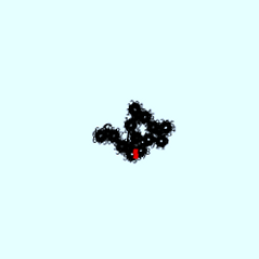 c1ccc(-c2ccc(-c3cc(-c4cccc(-n5c6ccccc6c6ccc(-c7ccc8sc9ccccc9c8c7)cc65)c4)nc(-n4c5ccccc5c5ccc(-c6ccc7sc8ccccc8c7c6)cc54)n3)c(-c3ccccc3)c2)cc1